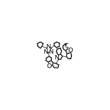 c1ccc(-c2nc(-c3ccccc3)nc(-c3ccc4oc5cccc(-c6cc(-c7cccc8oc9ccccc9c78)c7ccccc7n6)c5c4c3)n2)cc1